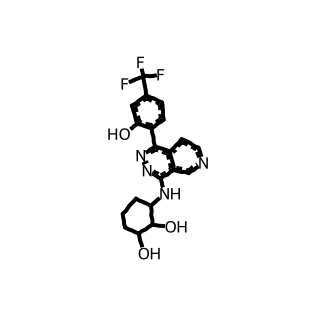 Oc1cc(C(F)(F)F)ccc1-c1nnc(NC2CCCC(O)C2O)c2cnccc12